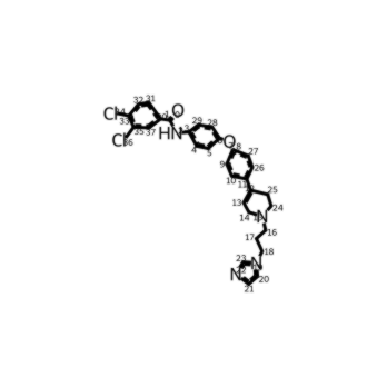 O=C(Nc1ccc(Oc2ccc(C3=CCN(CCCn4ccnc4)CC3)cc2)cc1)c1ccc(Cl)c(Cl)c1